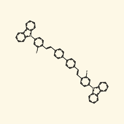 Fc1cc(-n2c3ccccc3c3ccccc32)ccc1C=Cc1ccc(-c2ccc(C=Cc3ccc(-n4c5ccccc5c5ccccc54)cc3F)cc2)cc1